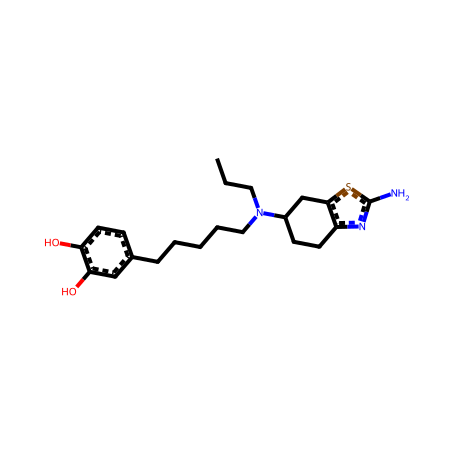 CCCN(CCCCCc1ccc(O)c(O)c1)C1CCc2nc(N)sc2C1